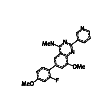 CNc1nc(-c2cccnc2)nc2c(OC)cc(-c3ccc(OC)cc3F)cc12